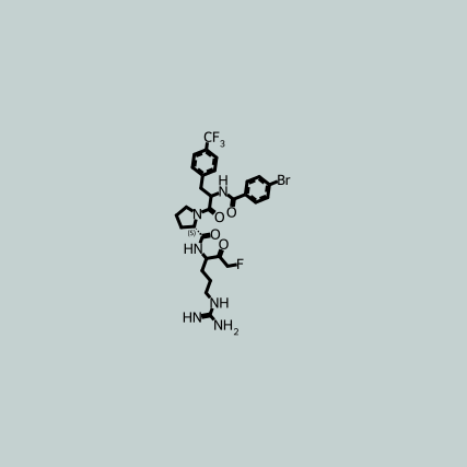 N=C(N)NCCCC(NC(=O)[C@@H]1CCCN1C(=O)C(Cc1ccc(C(F)(F)F)cc1)NC(=O)c1ccc(Br)cc1)C(=O)CF